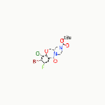 CC(C)(C)OC(=O)N1CCN2C(=O)c3cc(F)c(Br)c(Cl)c3OCC2C1